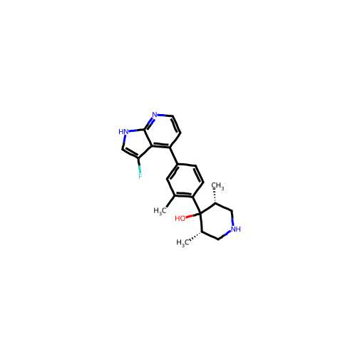 Cc1cc(-c2ccnc3[nH]cc(F)c23)ccc1C1(O)[C@H](C)CNC[C@@H]1C